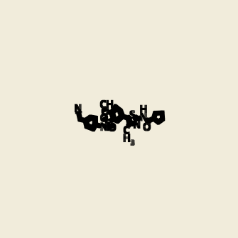 COc1ccc(-c2sc(NC(=O)C3CCCC3)nc2C)cc1S(=O)(=O)Nc1ccc(CC#N)cc1